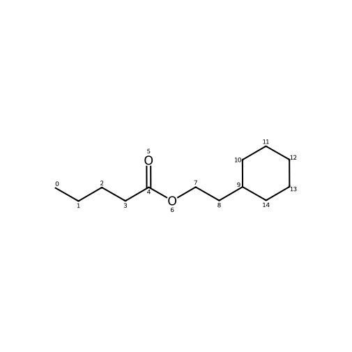 CCCCC(=O)OCCC1CCCCC1